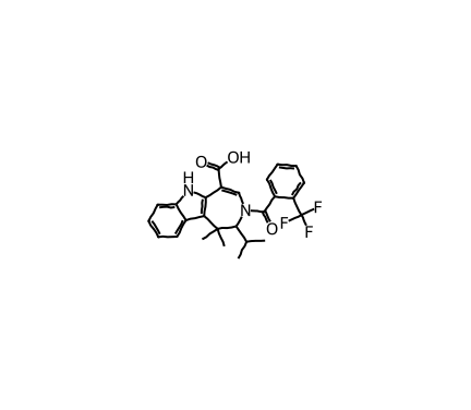 CC(C)C1N(C(=O)c2ccccc2C(F)(F)F)C=C(C(=O)O)c2[nH]c3ccccc3c2C1(C)C